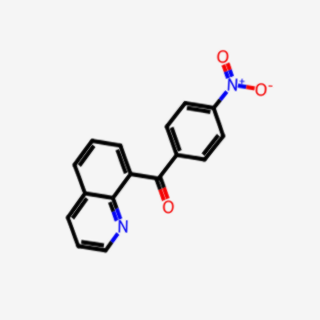 O=C(c1ccc([N+](=O)[O-])cc1)c1cccc2cccnc12